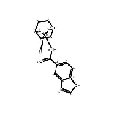 O=C(N[C@@H]1CC2CCN(CC2)C1)c1ccc2ocnc2c1